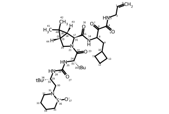 C=CCNC(=O)C(=O)C(CC1CCC1)NC(=O)[C@@H]1[C@@H]2[C@H](CN1C(=O)[C@@H](NC(=O)N[C@H](CN1CCCC[S+]1[O-])C(C)(C)C)C(C)(C)C)C2(C)C